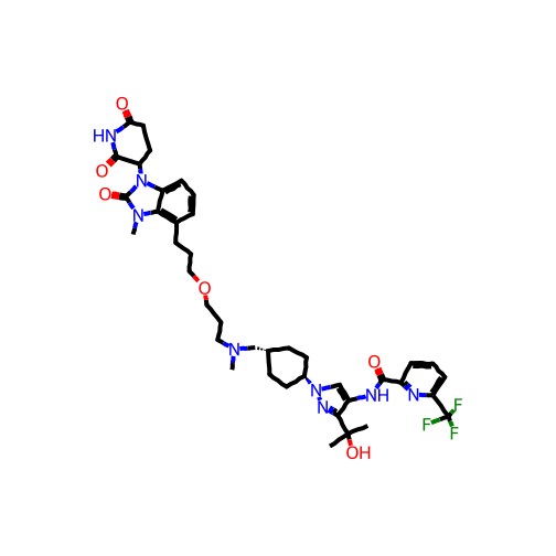 CN(CCCOCCCc1cccc2c1n(C)c(=O)n2C1CCC(=O)NC1=O)C[C@H]1CC[C@H](n2cc(NC(=O)c3cccc(C(F)(F)F)n3)c(C(C)(C)O)n2)CC1